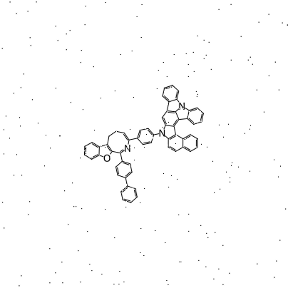 C1=C(c2ccc(-n3c4ccc5ccccc5c4c4c5c6ccccc6n6c7ccccc7c(cc43)c56)cc2)\N=C(\c2ccc(-c3ccccc3)cc2)c2oc3ccccc3c2CC/1